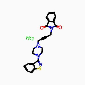 Cl.O=C1c2ccccc2C(=O)N1CC#CCN1CCN(c2nsc3ccccc23)CC1